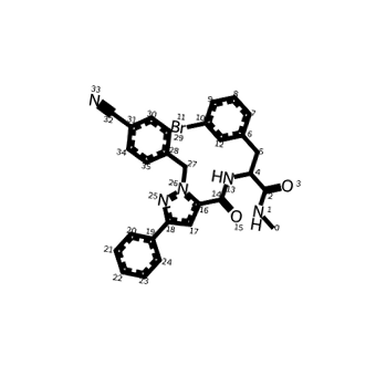 CNC(=O)C(Cc1cccc(Br)c1)NC(=O)c1cc(-c2ccccc2)nn1Cc1ccc(C#N)cc1